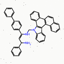 NC(/C=C(\NCn1c2ccccc2c2c3c4ccccc4ccc3c3ccccc3c21)c1ccc(-c2ccccc2)cc1)c1ccccc1